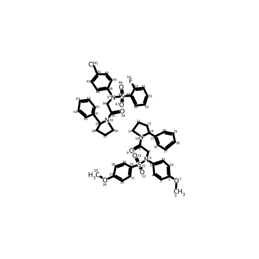 COc1ccc(N(CC(=O)N2CCCC2c2ccccc2)S(=O)(=O)c2ccc(OC)cc2)cc1.O=C(CN(c1ccc(Cl)cc1)S(=O)(=O)c1ccccc1F)N1CCCC1c1ccccc1